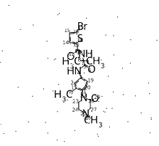 Cc1cc(NC(=O)C(C)(C)NC(=O)c2ccc(Br)s2)ccc1N1CCN(C)CC1=O